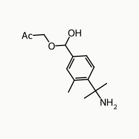 CC(=O)COC(O)c1ccc(C(C)(C)N)c(C)c1